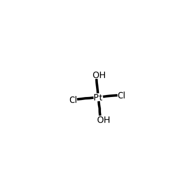 [OH][Pt]([OH])([Cl])[Cl]